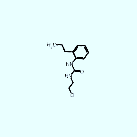 CCCc1ccccc1NC(=O)NCCCl